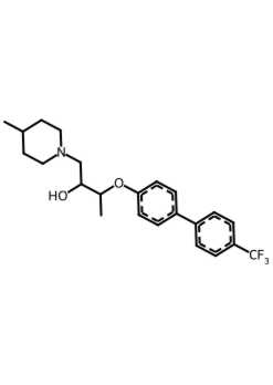 CC1CCN(CC(O)C(C)Oc2ccc(-c3ccc(C(F)(F)F)cc3)cc2)CC1